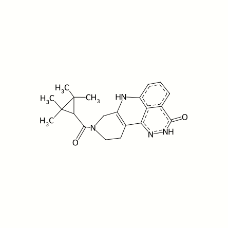 CC1(C)C(C(=O)N2CCC3=C(C2)Nc2cccc4c(=O)[nH]nc3c24)C1(C)C